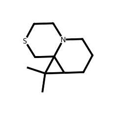 CC1(C)C2CCCN3CCSCC231